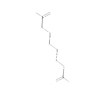 O=C(O)CCCCCCC(=O)O.[CaH2]